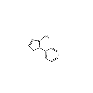 NN1N=CCC1c1ccccc1